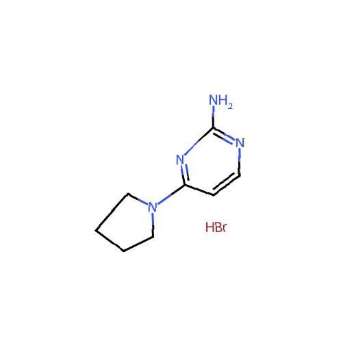 Br.Nc1nccc(N2CCCC2)n1